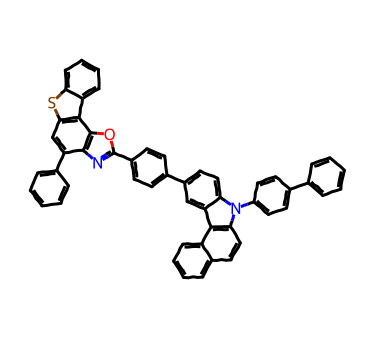 c1ccc(-c2ccc(-n3c4ccc(-c5ccc(-c6nc7c(-c8ccccc8)cc8sc9ccccc9c8c7o6)cc5)cc4c4c5ccccc5ccc43)cc2)cc1